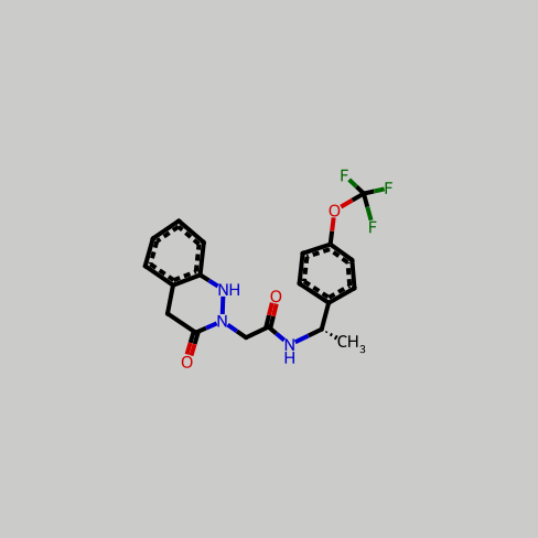 C[C@H](NC(=O)CN1Nc2ccccc2CC1=O)c1ccc(OC(F)(F)F)cc1